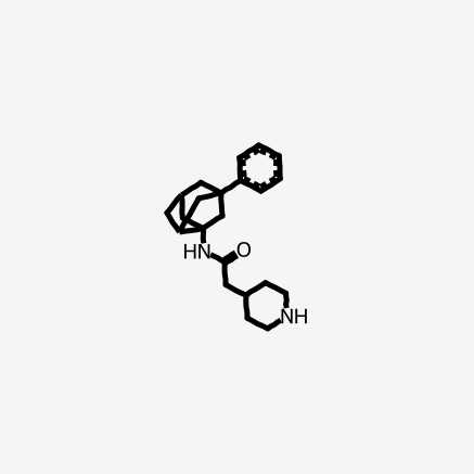 O=C(CC1CCNCC1)NC12CC3CC1CC(c1ccccc1)(C3)C2